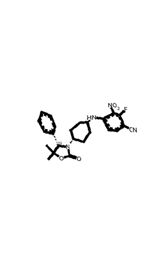 CC1(C)OC(=O)N([C@H]2CC[C@H](Nc3ccc(C#N)c(F)c3[N+](=O)[O-])CC2)[C@H]1c1ccccc1